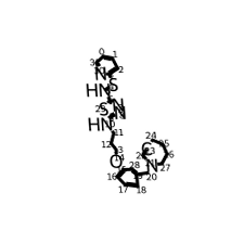 c1ccc(SNc2nnc(NCCCOc3cccc(CN4CCCCCC4)c3)s2)nc1